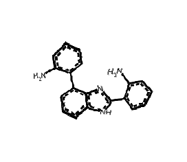 Nc1ccccc1-c1nc2c(-c3ccccc3N)cccc2[nH]1